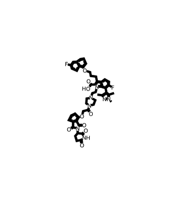 Cc1nn(C)c(C)c1-c1c(F)ccc2c(CCCOc3cccc4cc(F)ccc34)c(C(=O)O)n(CCN3CCN(C(=O)COc4cccc5c4C(=O)N(C4CCC(=O)NC4=O)C5=O)CC3)c12